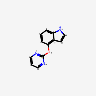 c1cnc(Oc2cccc3[nH]ccc23)nc1